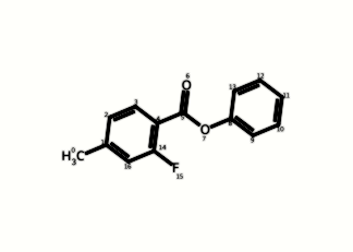 Cc1ccc(C(=O)Oc2ccccc2)c(F)c1